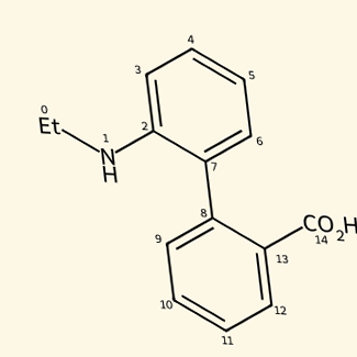 CCNc1ccccc1-c1ccccc1C(=O)O